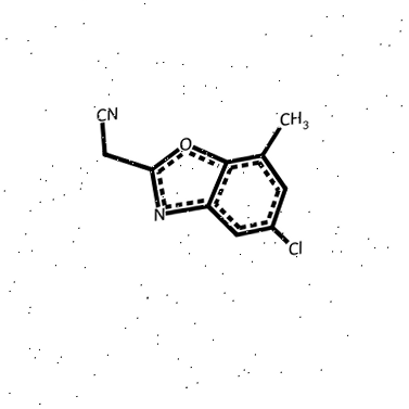 Cc1cc(Cl)cc2nc(CC#N)oc12